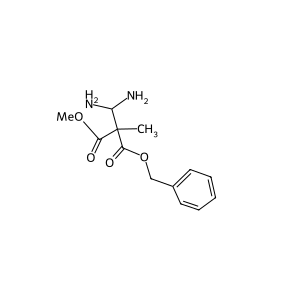 COC(=O)C(C)(C(=O)OCc1ccccc1)C(N)N